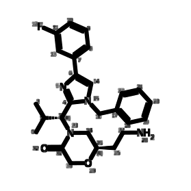 CC(C)[C@H](c1nc(-c2cccc(F)c2)cn1Cc1ccccc1)N1C[C@@H](CCN)OCC1=O